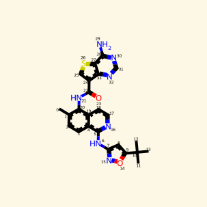 Cc1ccc2c(Nc3cc(C(C)(C)C)on3)nccc2c1NC(=O)c1csc2c(N)ncnc12